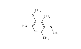 CSc1c(C)cc(O)c(SC)c1C